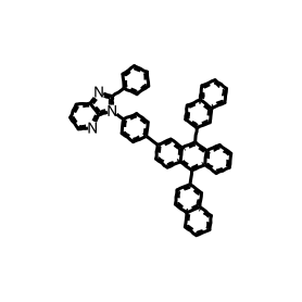 c1ccc(-c2nc3cccnc3n2-c2ccc(-c3ccc4c(-c5ccc6ccccc6c5)c5ccccc5c(-c5ccc6ccccc6c5)c4c3)cc2)cc1